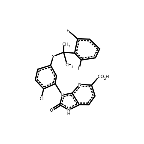 CC(C)(Sc1ccc(Cl)c(-n2c(=O)[nH]c3ccc(C(=O)O)nc32)c1)c1c(F)cccc1F